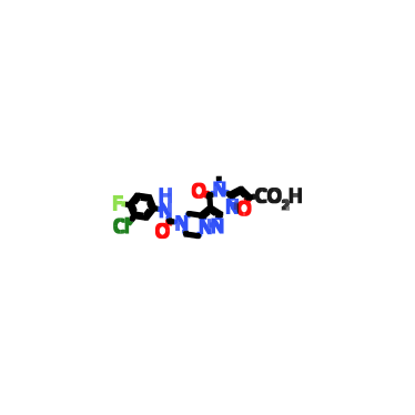 CN(C(=O)c1cnn2c1CN(C(=O)Nc1ccc(F)c(Cl)c1)CC2)c1cc(C(=O)O)on1